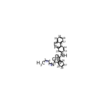 C=C(/N=C\C=C/C)c1c(C(=O)Nc2ccc(-c3ccccc3F)c(F)c2)c2ccc1o2